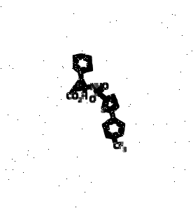 O=C(O)C1(NS(=O)(=O)c2ccc(-c3ccc(C(F)(F)F)cc3)s2)CC1c1ccccc1